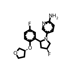 Nc1ccc(N2C[C@@H](F)CC2c2cc(F)ccc2O[C@@H]2CCOC2)cn1